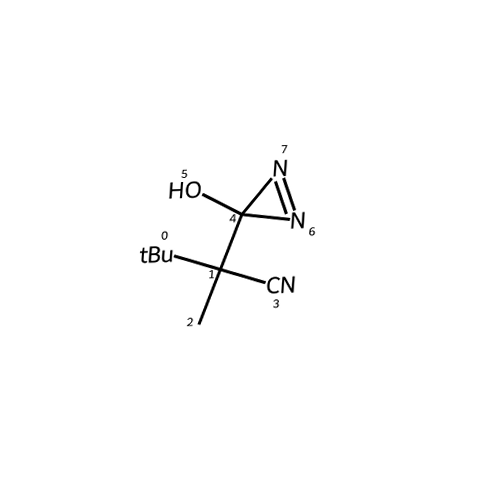 CC(C)(C)C(C)(C#N)C1(O)N=N1